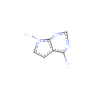 Cn1ccc2c(N)ncnc21